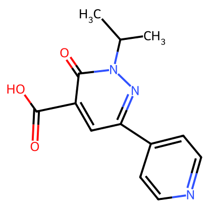 CC(C)n1nc(-c2ccncc2)cc(C(=O)O)c1=O